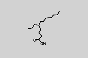 CCCCCCCC(CCC)CCCC(=O)O